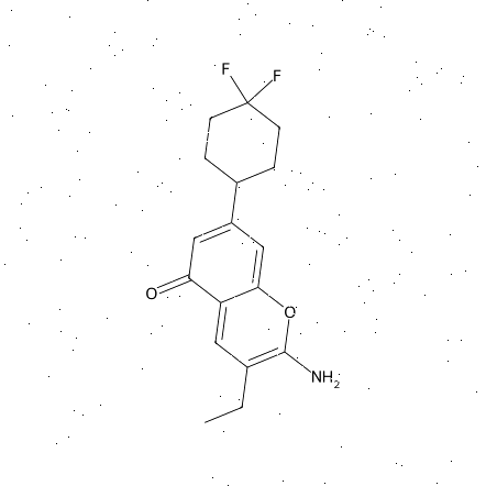 CCc1cc2c(=O)cc(C3CCC(F)(F)CC3)cc-2oc1N